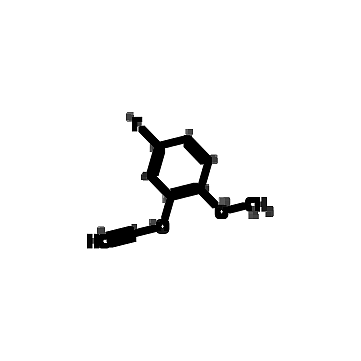 C#COc1cc(F)ccc1OC